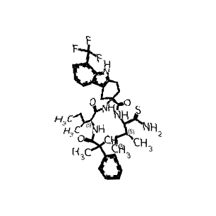 CCC(C)[C@H](NC(=O)C(C)(C)c1ccccc1)C(=O)N[C@]1(C(=O)NC(C(N)=S)[C@@H](C)CC)CCc2[nH]c3c(C(F)(F)F)cccc3c2C1